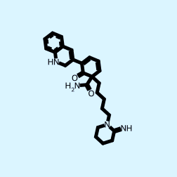 N=C1CCCCN1CCCCCC1(C(N)=O)C=CC=C(C2=Cc3ccccc3NC2)C1=O